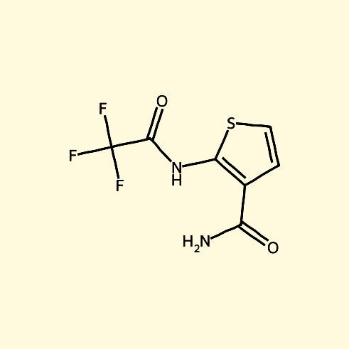 NC(=O)c1ccsc1NC(=O)C(F)(F)F